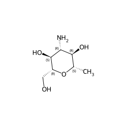 C[C@@H]1O[C@H](CO)[C@@H](O)[C@H](N)[C@H]1O